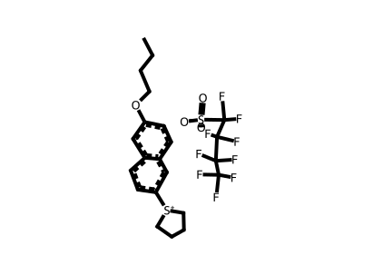 CCCCOc1ccc2cc([S+]3CCCC3)ccc2c1.O=S(=O)([O-])C(F)(F)C(F)(F)C(F)(F)C(F)(F)F